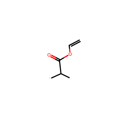 [CH2]C(C)C(=O)OC=C